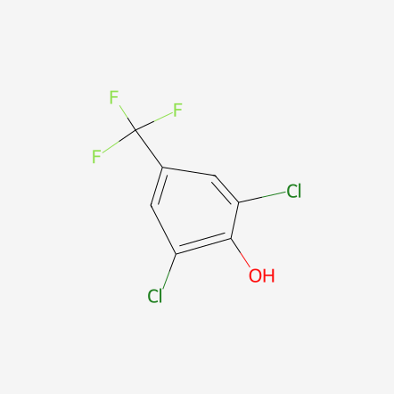 Oc1c(Cl)cc(C(F)(F)F)cc1Cl